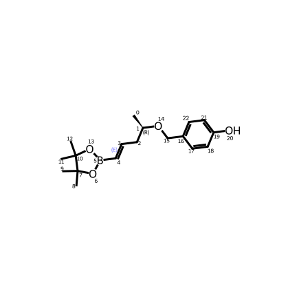 C[C@H](C/C=C/B1OC(C)(C)C(C)(C)O1)OCc1ccc(O)cc1